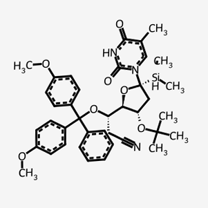 COc1ccc(C(O[C@@H](CC#N)[C@H]2O[C@](n3cc(C)c(=O)[nH]c3=O)([SiH](C)C)C[C@@H]2OC(C)(C)C)(c2ccccc2)c2ccc(OC)cc2)cc1